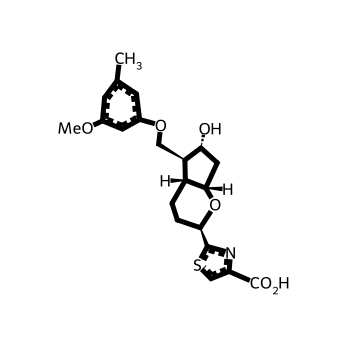 COc1cc(C)cc(OC[C@@H]2[C@H]3CC[C@H](c4nc(C(=O)O)cs4)O[C@H]3C[C@H]2O)c1